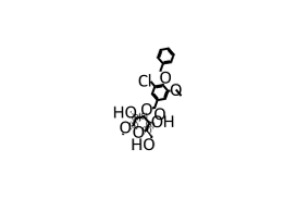 COc1cc(C(=O)O[C@@H]2[C@@H](O)[C@@H](OC)O[C@H](CO)[C@H]2O)cc(Cl)c1OCc1ccccc1